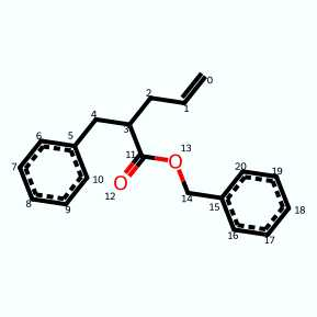 C=CCC(Cc1ccccc1)C(=O)OCc1ccccc1